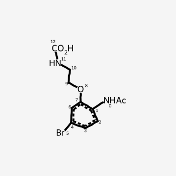 CC(=O)Nc1ccc(Br)cc1OCCNC(=O)O